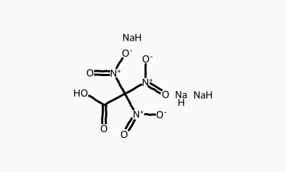 O=C(O)C([N+](=O)[O-])([N+](=O)[O-])[N+](=O)[O-].[NaH].[NaH].[NaH]